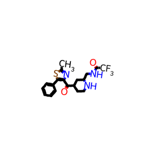 Cc1nc(C(=O)C2CCNC(CNC(=O)C(F)(F)F)C2)c(-c2ccccc2)s1